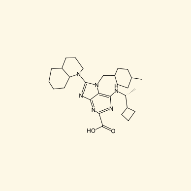 CC1CCC(Cn2c(N3CCCC4CCCCC43)nc3nc(C(=O)O)nc(N[C@H](C)C4CCC4)c32)CC1